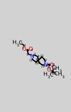 CCOC(=O)CN1CCC2(CC1)CCN(C(=O)OC(C)(C)C)CC2